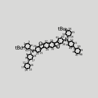 CC(C)(C)c1cccc(N(c2ccc(-c3ccccc3)cc2)c2ccc3c(c2)oc2cc4cc5c(cc4cc23)oc2cc(N(c3ccc(-c4ccccc4)cc3)c3cccc(C(C)(C)C)c3)ccc25)c1